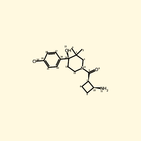 CC1(C)CN(C(=O)[C@@H]2CC[C@@H]2N)CC[C@]1(O)c1ccc(Cl)cc1